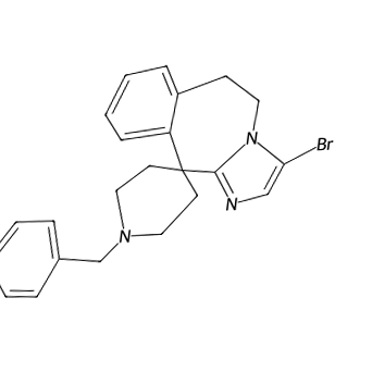 Brc1cnc2n1CCc1ccccc1C21CCN(Cc2ccccc2)CC1